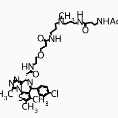 CC(=O)NCCC(=O)NCCCN(C)CCCNC(=O)CCOCCNC(=O)C[C@@H]1N=C(c2ccc(Cl)cc2)c2c(sc(C)c2C)-n2c(C)nnc21